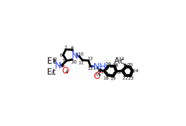 CCN(CC)C(=O)C1CCCN(CCCCNC(=O)c2ccc(-c3ccccc3C(C)=O)cc2)C1